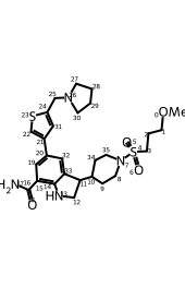 COCCCS(=O)(=O)N1CCC(C2CNc3c(C(N)=O)cc(-c4csc(CN5CCCC5)c4)cc32)CC1